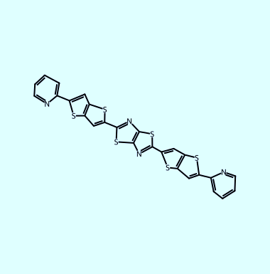 c1ccc(-c2cc3sc(-c4nc5sc(-c6cc7sc(-c8ccccn8)cc7s6)nc5s4)cc3s2)nc1